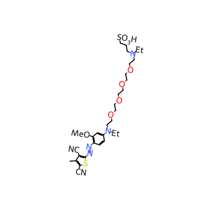 CCN(CCCS(=O)(=O)O)CCOCCOCCOCCOCCN(CC)c1ccc(/N=N/c2sc(C#N)c(C)c2C#N)c(OC)c1